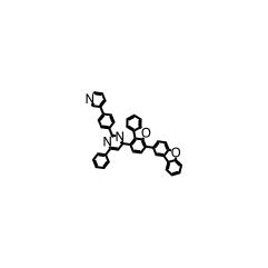 c1ccc(-c2cc(-c3ccc(-c4ccc5oc6ccccc6c5c4)c4oc5ccccc5c34)nc(-c3ccc(-c4cccnc4)cc3)n2)cc1